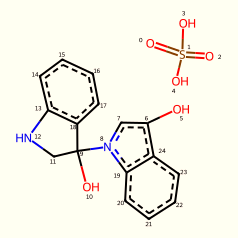 O=S(=O)(O)O.Oc1cn(C2(O)CNc3ccccc32)c2ccccc12